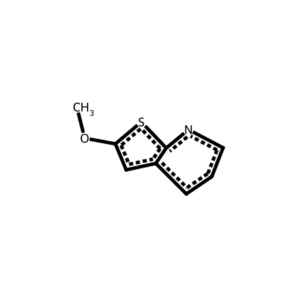 COc1cc2cccnc2s1